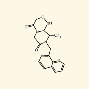 CC1C2NOCC(=O)N2CC(=O)N1Cc1cccc2cccnc12